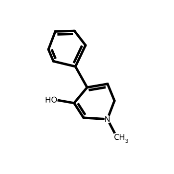 CN1C=C(O)C(c2ccccc2)=CC1